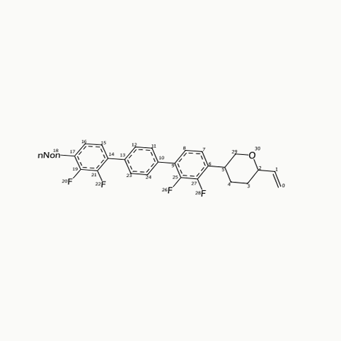 C=CC1CCC(c2ccc(-c3ccc(-c4ccc(CCCCCCCCC)c(F)c4F)cc3)c(F)c2F)CO1